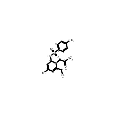 Cc1ccc(S(=O)(=O)NC2C=C(Br)C=C(CO)N2CC(N)=O)cc1